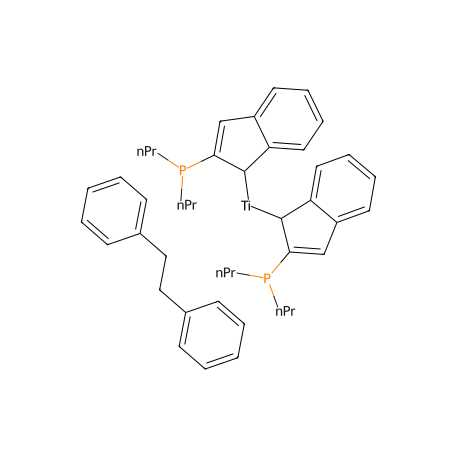 CCCP(CCC)C1=Cc2ccccc2[CH]1[Ti][CH]1C(P(CCC)CCC)=Cc2ccccc21.c1ccc(CCc2ccccc2)cc1